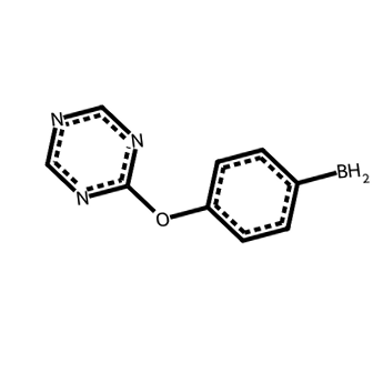 Bc1ccc(Oc2ncncn2)cc1